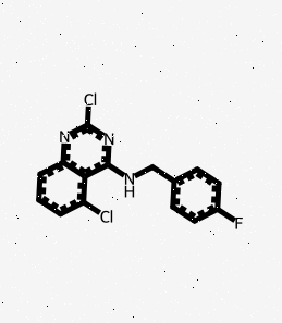 Fc1ccc(CNc2nc(Cl)nc3cccc(Cl)c23)cc1